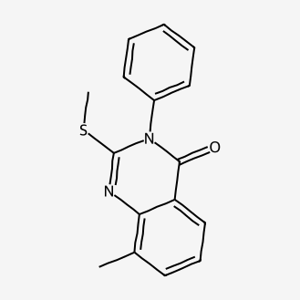 CSc1nc2c(C)cccc2c(=O)n1-c1ccccc1